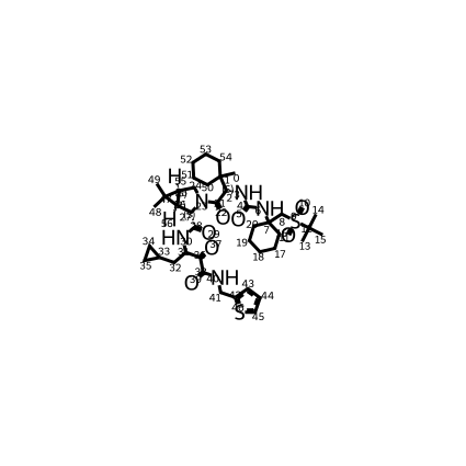 CC1([C@H](NC(=O)NC2(CS(=O)(=O)C(C)(C)C)CCCCC2)C(=O)N2C[C@H]3[C@@H]([C@H]2C(=O)NC(CC2CC2)C(=O)C(=O)NCc2cccs2)C3(C)C)CCCCC1